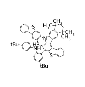 CC(C)(C)c1ccc(Nc2ccc(C(C)(C)C)cc2-c2c3c4c(c5cc6c(cc5n4-c4cc5sc7ccccc7c5cc4B3)C(C)(C)CCC6(C)C)c3c2sc2ccccc23)cc1